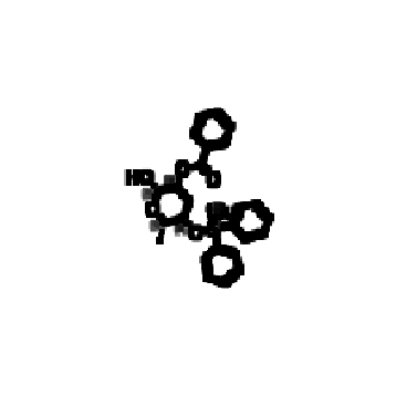 C[C@@H]1O[C@H](O)[C@H](OC(=O)c2ccccc2)C[C@H]1O[Si](c1ccccc1)(c1ccccc1)C(C)(C)C